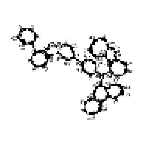 c1ccc(-c2cccc3c2oc2ccc(-c4ccc(N(c5cc6ccccc6c6ccccc56)c5cccc6oc7ccccc7c56)cc4)cc23)cc1